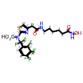 O=C(CCCCCNC(=O)Cc1csc(N(C(=O)O)C(F)(F)c2ccc(F)c(F)c2F)n1)NO